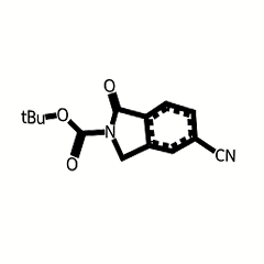 CC(C)(C)OC(=O)N1Cc2cc(C#N)ccc2C1=O